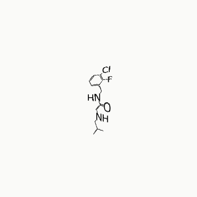 CC(C)CNCC(=O)NCc1cccc(Cl)c1F